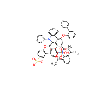 CC(C)c1cccc(C(C)C)c1-n1c(=O)c2cc(Oc3ccccc3-c3ccccc3)c3c4ccccc4n(-c4ccccc4)c4c(Oc5ccc(S(=O)(=O)O)cc5-c5ccc(S(=O)(=O)O)cc5)cc(c1=O)c2c34